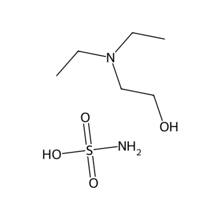 CCN(CC)CCO.NS(=O)(=O)O